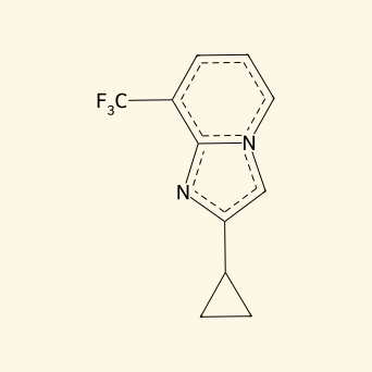 FC(F)(F)c1cccn2cc(C3CC3)nc12